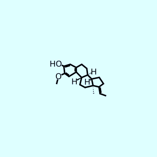 CC=C1CC[C@H]2[C@@H]3CCc4cc(O)c(OC)cc4[C@H]3CC[C@]12C